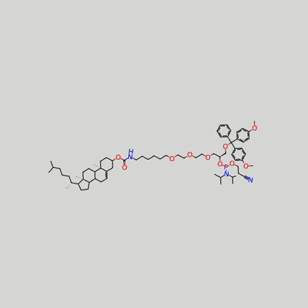 COc1ccc(C(OC[C@H](COCCOCCOCCCCCCNC(=O)OC2CC[C@@]3(C)C(=CCC4C5CCC([C@H](C)CCCC(C)C)[C@@]5(C)CCC43)C2)OP(OCCC#N)N(C(C)C)C(C)C)(c2ccccc2)c2ccc(OC)cc2)cc1